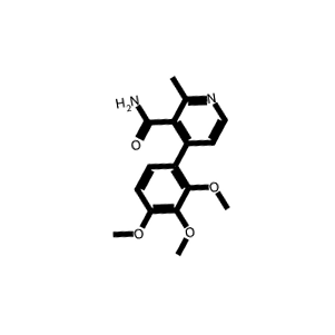 COc1ccc(-c2ccnc(C)c2C(N)=O)c(OC)c1OC